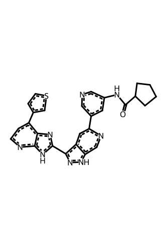 O=C(Nc1cncc(-c2cc3c(-c4nc5c(-c6ccsc6)ccnc5[nH]4)n[nH]c3cn2)c1)C1CCCC1